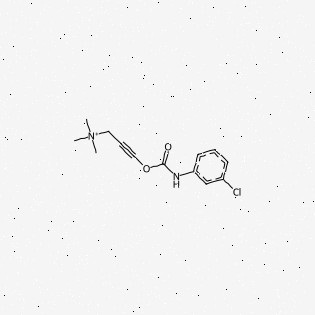 C[N+](C)(C)CC#COC(=O)Nc1cccc(Cl)c1